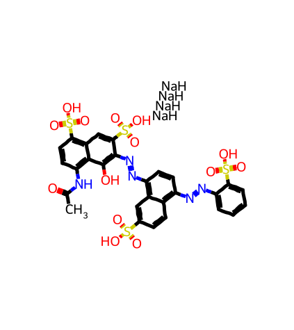 CC(=O)Nc1ccc(S(=O)(=O)O)c2cc(S(=O)(=O)O)c(N=Nc3ccc(N=Nc4ccccc4S(=O)(=O)O)c4ccc(S(=O)(=O)O)cc34)c(O)c12.[NaH].[NaH].[NaH].[NaH]